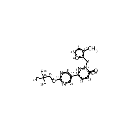 Cc1cnoc1Cn1nc(-c2cnc(OCC(F)(F)F)nc2)ccc1=O